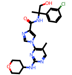 Cc1cnc(NC2CCOCC2)nc1-n1cnc(C(=O)NC(C)(CO)c2cccc(Cl)c2)c1